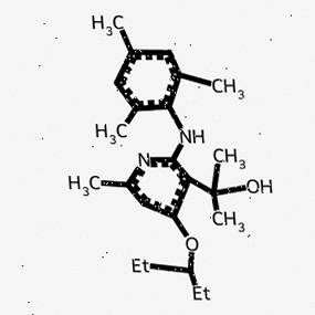 CCC(CC)Oc1cc(C)nc(Nc2c(C)cc(C)cc2C)c1C(C)(C)O